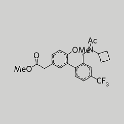 COC(=O)Cc1ccc(OC)c(-c2ccc(C(F)(F)F)cc2CN(C(C)=O)C2CCC2)c1